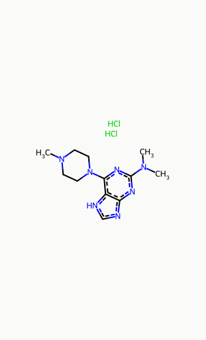 CN1CCN(c2nc(N(C)C)nc3nc[nH]c23)CC1.Cl.Cl